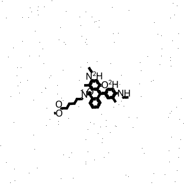 [2H]c1c2oc3c([2H])c(NCC)c(C)cc3c(-c3ccccc3C(=O)N(C)CCCCCC(=O)OC)c-2cc(C)/c1=N/CC